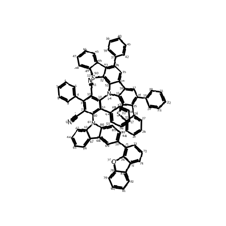 N#Cc1c(-c2ccccc2)c(C#N)c(-n2c3c(cc(-c4ccccc4)c4c5ccccc5sc43)c3cc(-c4ccccc4)c4c5ccccc5sc4c32)c(-c2ccccc2)c1-n1c2ccccc2c2cc(-c3cccc4c3oc3ccccc34)ccc21